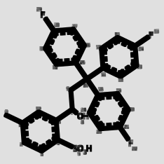 Cc1ccc(S(=O)(=O)O)c(C(O)CC(c2ccc(F)cc2)(c2ccc(F)cc2)c2ccc(F)cc2)c1